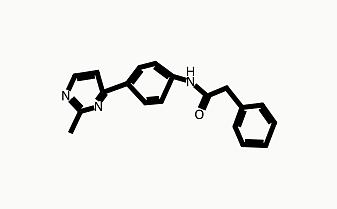 Cc1nccc(-c2ccc(NC(=O)Cc3ccccc3)cc2)n1